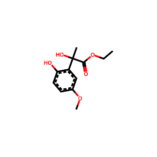 CCOC(=O)C(C)(O)c1cc(OC)ccc1O